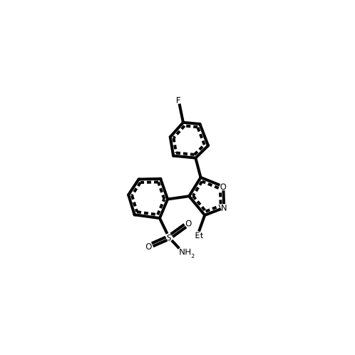 CCc1noc(-c2ccc(F)cc2)c1-c1ccccc1S(N)(=O)=O